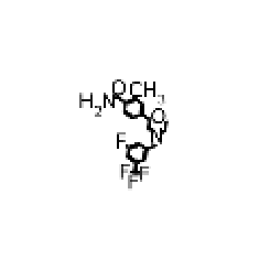 Cc1cc(C2CN(Cc3cc(F)cc(C(F)(F)F)c3)CCO2)ccc1C(N)=O